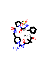 COC(=O)C(C)(C)CC(=O)/N=C(/N)N1CCC(CNC(=O)[C@@H]2CCCN2C(=O)[C@@H](Cc2ccccc2)NS(C)(=O)=O)CC1